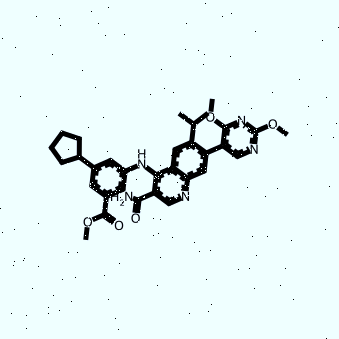 COC(=O)c1cc(Nc2c(C(N)=O)cnc3cc(-c4cnc(OC)nc4OC)c(C(C)C)cc23)cc(C2CCCC2)c1